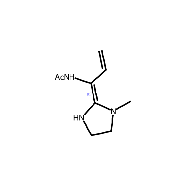 C=C/C(NC(C)=O)=C1/NCCN1C